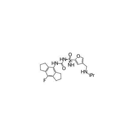 CC(C)NCc1coc([S@](=N)(=O)NC(=O)Nc2c3c(c(F)c4c2CCC4)CCC3)c1